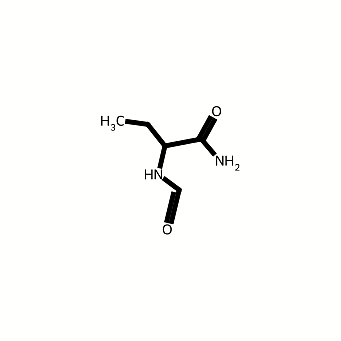 CCC(NC=O)C(N)=O